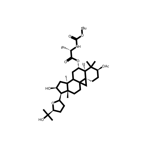 CC(=O)O[C@H]1CC[C@]23CC24CC[C@]2(C)[C@@H](C5CC[C@@H](C(C)(C)O)O5)[C@@H](O)C[C@@]2(C)C4C[C@H](OC(=O)[C@@H](NC(=O)OC(C)(C)C)C(C)C)[C@H]3C1(C)C